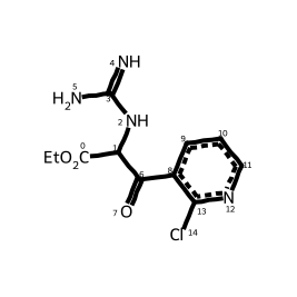 CCOC(=O)C(NC(=N)N)C(=O)c1cccnc1Cl